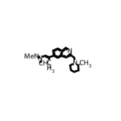 CNN(C)/C=C(\C)c1ccc2cnc(CN3CCCC[C@H]3C)cc2c1